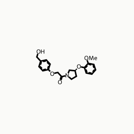 COc1ccccc1O[C@H]1CCN(C(=O)COc2ccc(CO)cc2)C1